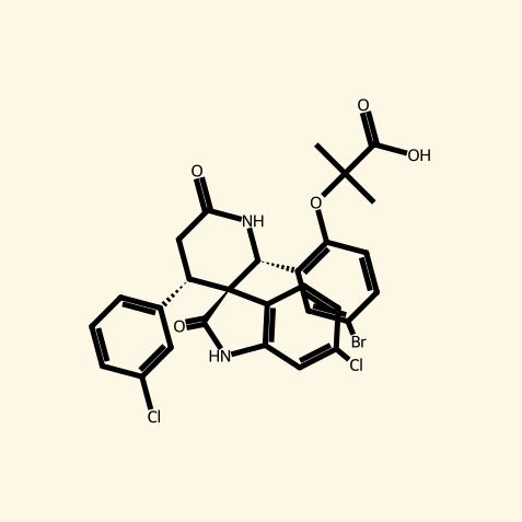 CC(C)(Oc1ccc(Br)cc1[C@H]1NC(=O)C[C@@H](c2cccc(Cl)c2)[C@]12C(=O)Nc1cc(Cl)ccc12)C(=O)O